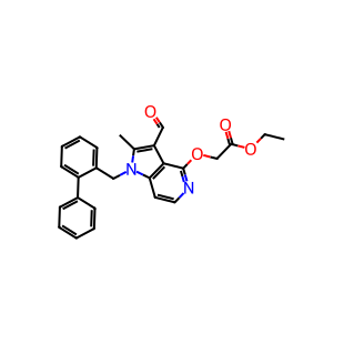 CCOC(=O)COc1nccc2c1c(C=O)c(C)n2Cc1ccccc1-c1ccccc1